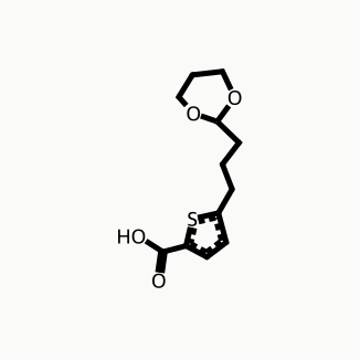 O=C(O)c1ccc(CCCC2OCCCO2)s1